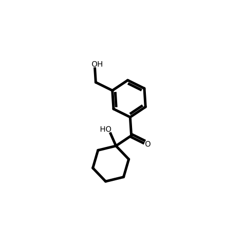 O=C(c1cccc(CO)c1)C1(O)CCCCC1